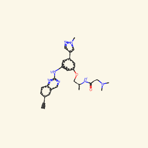 C#Cc1ccc2nc(Nc3cc(OCC(C)NC(=O)CN(C)C)cc(-c4cnn(C)c4)c3)ncc2c1